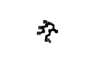 C=CCOC(=O)CC(C)=O.CC(C)[O][AlH][O]C(C)C